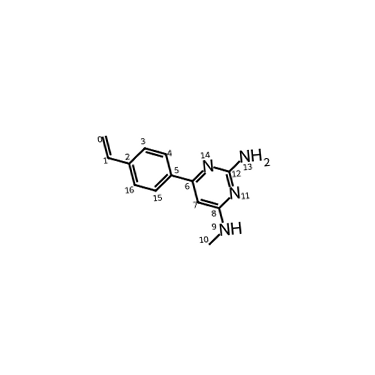 C=Cc1ccc(-c2cc(NC)nc(N)n2)cc1